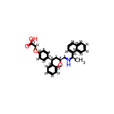 C[C@@H](NC[C@@H]1C[C@H](c2ccc(OCC(=O)O)cc2)c2ccccc2O1)c1cccc2ccccc12